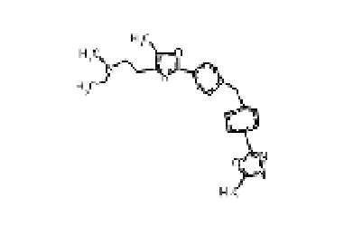 CCN(C)CCc1nc(-c2ccc(Cc3ccc(-c4nnc(C)o4)cc3)cc2)oc1C